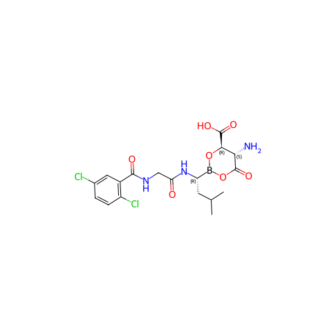 CC(C)C[C@H](NC(=O)CNC(=O)c1cc(Cl)ccc1Cl)B1OC(=O)[C@@H](N)[C@H](C(=O)O)O1